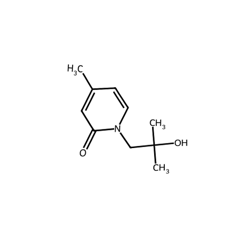 Cc1ccn(CC(C)(C)O)c(=O)c1